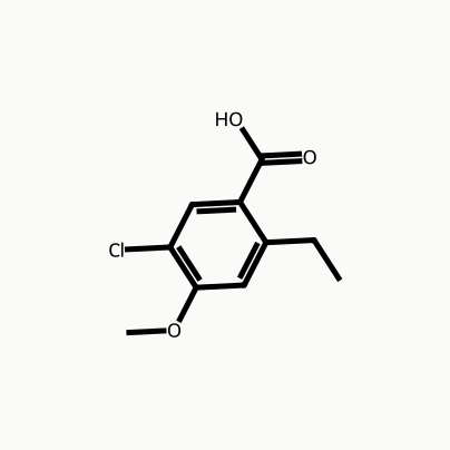 CCc1cc(OC)c(Cl)cc1C(=O)O